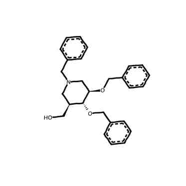 OC[C@H]1CN(Cc2ccccc2)C[C@@H](OCc2ccccc2)[C@@H]1OCc1ccccc1